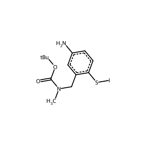 CN(Cc1cc(N)ccc1SI)C(=O)OC(C)(C)C